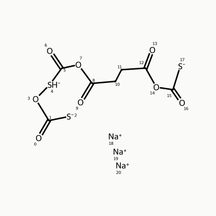 O=C([S-])O[SH-]C(=O)OC(=O)CCC(=O)OC(=O)[S-].[Na+].[Na+].[Na+]